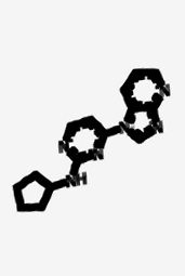 c1cnc2ncn(-c3ccnc(NC4CCCC4)n3)c2c1